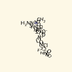 CO/N=C(\C(=O)N[C@@H]1C(=O)N2C(C(=O)[O-])=C(C[n+]3cccc4c3ccn4Cc3c(F)cc(C(=O)NN4CCCC4)cc3Cl)CS[C@H]12)c1csc(N)n1